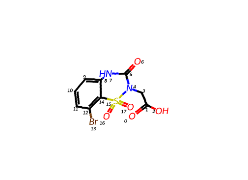 O=C(O)CN1C(=O)Nc2cccc(Br)c2S1(=O)=O